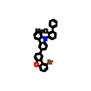 COc1c(-c2ccccc2)cccc1-n1c2ccccc2c2cc(-c3ccc4oc5cccc(Br)c5c4c3)ccc21